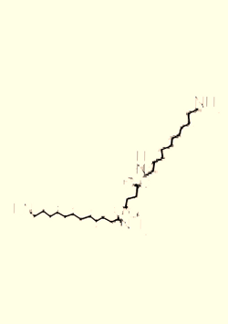 NCCCCCCCCCCCC(N)OC(=O)CCC(=O)OC(N)CCCCCCCCCCCN